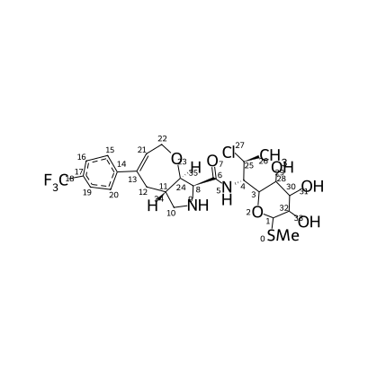 CSC1OC([C@H](NC(=O)[C@H]2NC[C@@H]3CC(c4ccc(C(F)(F)F)cc4)=CCO[C@H]32)[C@H](C)Cl)C(O)C(O)C1O